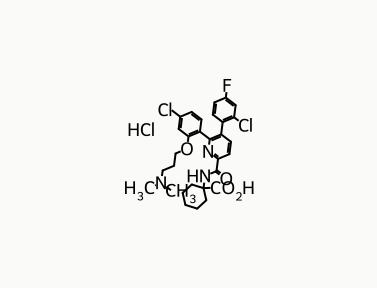 CN(C)CCCOc1cc(Cl)ccc1-c1nc(C(=O)NC2(C(=O)O)CCCCC2)ccc1-c1ccc(F)cc1Cl.Cl